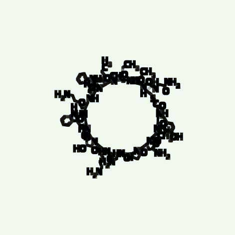 CCCC[C@H]1C(=O)N(C)[C@@H](CCCC)C(=O)N[C@@H](CCC)C(=O)N[C@H](C(=O)NCC(N)=O)CSCC(=O)N[C@@H](Cc2ccc(O)cc2)C(=O)N(C)[C@@H](C)C(=O)N[C@@H](CC(N)=O)C(=O)N2CCC[C@H]2C(=O)N[C@@H](CN)C(=O)N[C@@H](CCCCN)C(=O)N2C[C@H](O)C[C@H]2C(=O)N[C@@H](Cc2c[nH]c3ccccc23)C(=O)N[C@@H](CCCCN)C(=O)N[C@@H](Cc2c[nH]c3ccccc23)C(=O)N1C